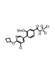 CCS(=O)(=O)NC(=O)c1ccc(-c2cnc(OC3CCC3)c(Cl)c2)c(OC)c1